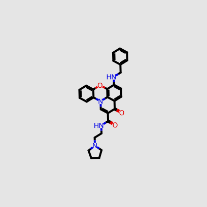 O=C(NCCN1CCCC1)c1cn2c3c(c(NCc4ccccc4)ccc3c1=O)Oc1ccccc1-2